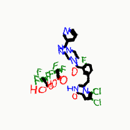 O=C(O)C(F)(F)F.O=C(O)C(F)(F)F.O=C(c1cc(Cc2c[nH]c(=O)c3cc(Cl)c(Cl)n23)ccc1F)N1CCn2c(nnc2-c2cccnc2)C1